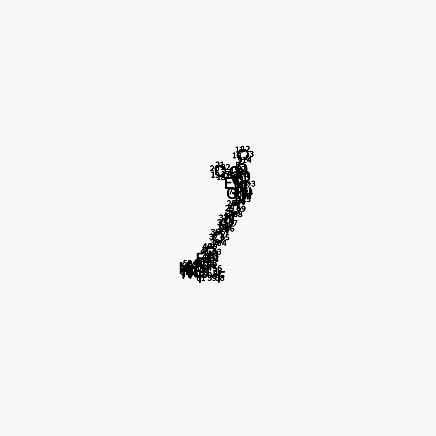 CC[C@@H]([C@H](C)OP(=O)(OCc1ccccc1)OCc1ccccc1)n1ncn(-c2ccc(N3CCN(c4ccc(-c5ccc(C(F)(F)C(O)(Cn6cnnn6)c6ccc(F)cc6F)nc5)cc4)CC3)cc2)c1=O